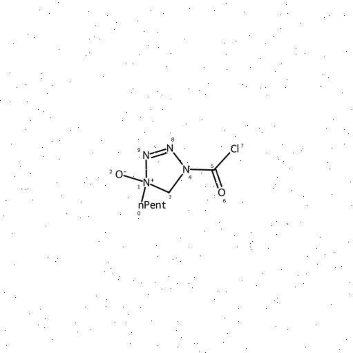 CCCCC[N+]1([O-])CN(C(=O)Cl)N=N1